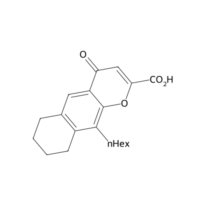 CCCCCCc1c2c(cc3c(=O)cc(C(=O)O)oc13)CCCC2